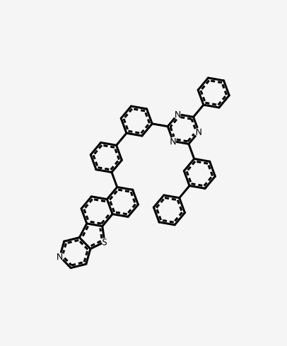 c1ccc(-c2cccc(-c3nc(-c4ccccc4)nc(-c4cccc(-c5cccc(-c6cccc7c6ccc6c8cnccc8sc76)c5)c4)n3)c2)cc1